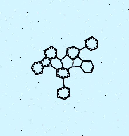 C1=CCC2C(=C1)c1c(-c3ccccc3)ccc3c1N2c1cc(-c2ccccc2)cc2c1B3c1cccc3c4ccccc4n-2c13